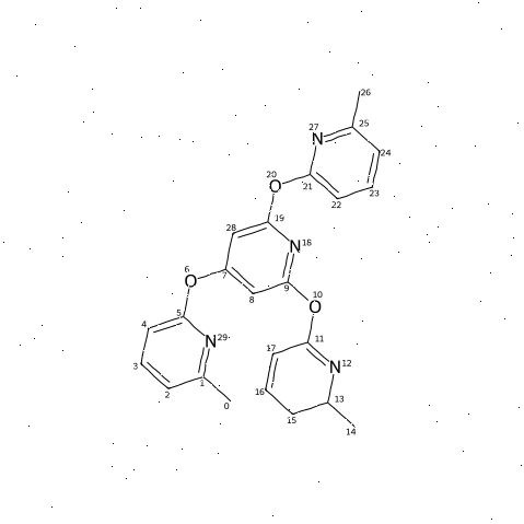 Cc1cccc(Oc2cc(OC3=NC(C)CC=C3)nc(Oc3cccc(C)n3)c2)n1